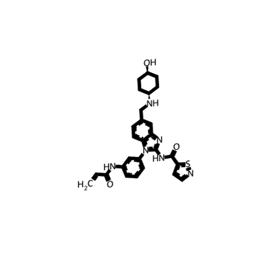 C=CC(=O)Nc1cccc(-n2c(NC(=O)c3ccns3)nc3cc(CN[C@H]4CC[C@H](O)CC4)ccc32)c1